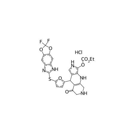 CCOC(=O)Oc1[nH]cc2c1NC1=C(C(=O)CNC1)C2c1ccc(Sc2nc3cc4c(cc3[nH]2)OC(F)(F)O4)o1.Cl